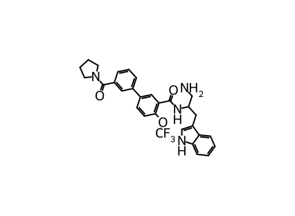 NCC(Cc1c[nH]c2ccccc12)NC(=O)c1cc(-c2cccc(C(=O)N3CCCC3)c2)ccc1OC(F)(F)F